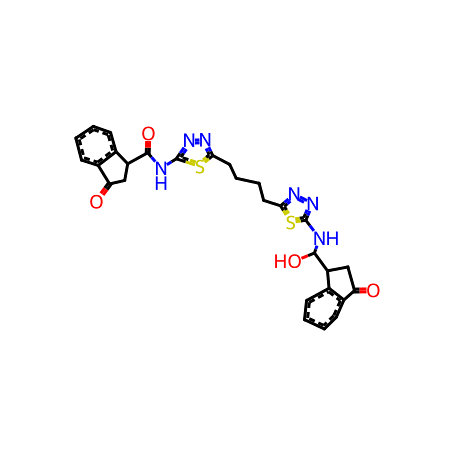 O=C1CC(C(=O)Nc2nnc(CCCCc3nnc(NC(O)C4CC(=O)c5ccccc54)s3)s2)c2ccccc21